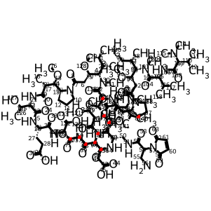 CC[C@H](C)[C@@H]([C@@H](CC(=O)N1CCC[C@H]1[C@H](OC)[C@@H](C)C(=O)N[C@H](C(=O)N[C@@H](CCC(=O)O)C(=O)N[C@@H](CNC(=O)[C@H](CCC(=O)O)NC(=O)[C@H](CNC(=O)C(CN)N1C(=O)C=CC1=O)NC(=O)[C@H](CCC(=O)O)NC(=O)[C@@H](NC(=O)[C@H](C)[C@@H](OC)[C@@H]1CCCN1C(=O)C[C@@H](OC)[C@H]([C@@H](C)CC)N(C)C(=O)[C@@H](NC(=O)[C@H](C(C)C)N(C)C)C(C)C)[C@@H](C)O)C(=O)O)[C@@H](C)O)OC)N(C)C(=O)[C@@H](NC(=O)[C@H](C(C)C)N(C)C)C(C)C